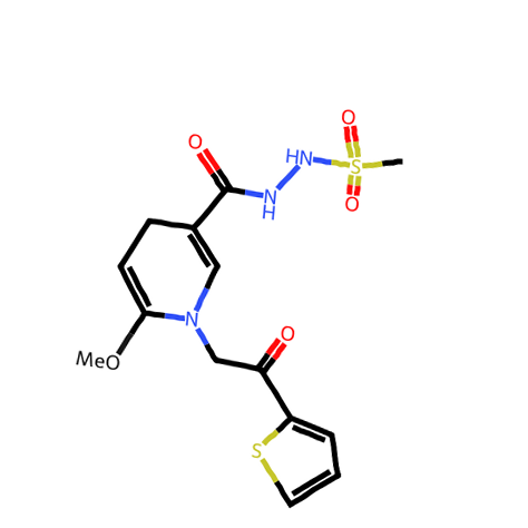 COC1=CCC(C(=O)NNS(C)(=O)=O)=CN1CC(=O)c1cccs1